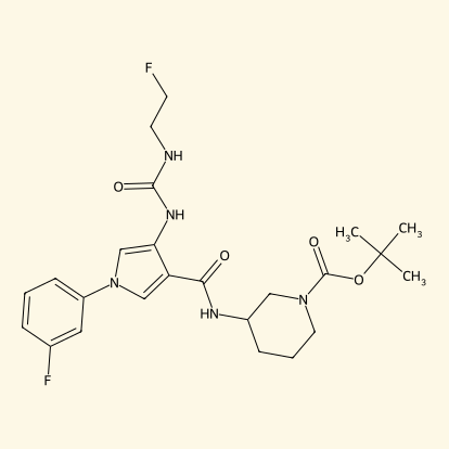 CC(C)(C)OC(=O)N1CCCC(NC(=O)c2cn(-c3cccc(F)c3)cc2NC(=O)NCCF)C1